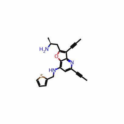 CC#Cc1cc(NCc2cccs2)c2oc(C[C@H](C)N)c(C#CC)c2n1